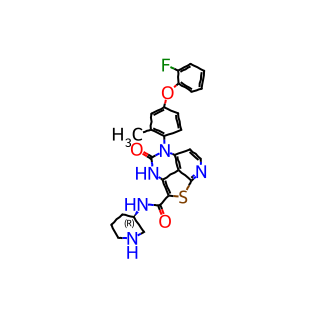 Cc1cc(Oc2ccccc2F)ccc1N1C(=O)Nc2c(C(=O)N[C@@H]3CCCNC3)sc3nccc1c23